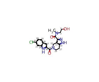 CN(CCO)C(=O)c1n[nH]c2c1CN(C(=O)c1cc3ccc(Cl)cc3[nH]1)CC2